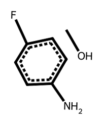 CO.Nc1ccc(F)cc1